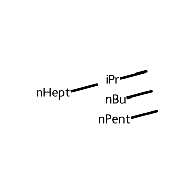 CC(C)C.CCCCC.CCCCCC.CCCCCCCC